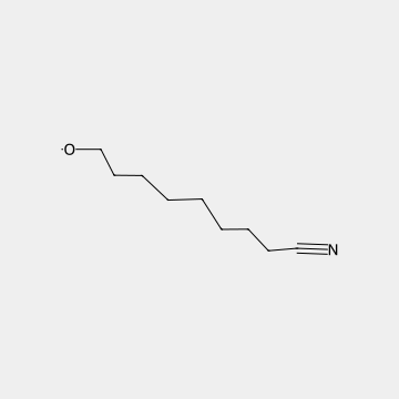 N#CCCCCCCCC[O]